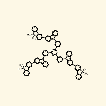 C[Si]1(C)c2ccccc2-c2cc(-c3ccc4c(c3)c3ccccc3n4-c3cccc(-c4nc(-c5cccc(-n6c7ccccc7c7cc(-c8ccc9c(c8)-c8ccccc8[Si]9(C)C)ccc76)c5)nc(-c5cccc(-n6c7ccccc7c7cc(-c8ccc9c(c8)-c8ccccc8[Si]9(C)C)ccc76)c5)n4)c3)ccc21